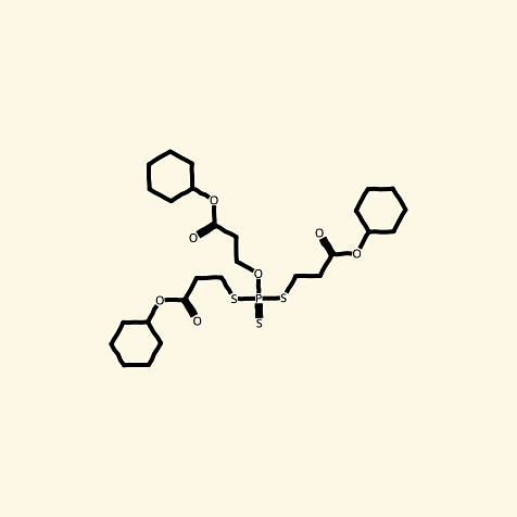 O=C(CCOP(=S)(SCCC(=O)OC1CCCCC1)SCCC(=O)OC1CCCCC1)OC1CCCCC1